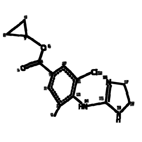 Cc1cc(C(=O)OC2CC2)cc(Cl)c1NC1=NCCN1